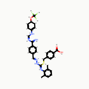 Cc1cccc(C)c1/N=C(/N/N=C/c1ccc(C(=N)/N=C\NC2=CCC(OC(F)(F)F)C=C2)cc1)SCc1ccc(C(=O)O)cc1